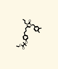 CCCn1c(CCCc2ccc(OC(C)(C)C(=O)OCC)cc2)cn(Cc2ccc(C)c(C)c2)c1=O